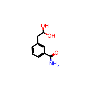 NC(=O)c1cccc(CC(O)O)c1